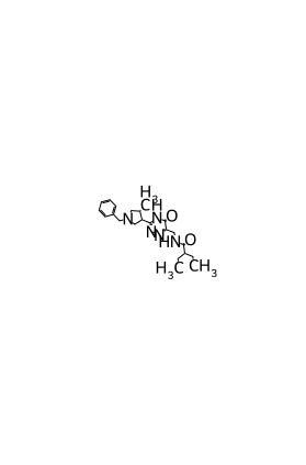 CCC(CC)C(=O)NCc1nnc(C2CN(Cc3ccccc3)CC2C)[nH]c1=O